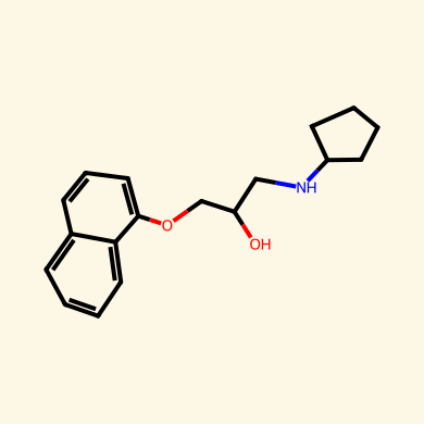 OC(CNC1CCCC1)COc1cccc2ccccc12